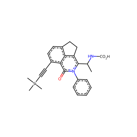 CC(NC(=O)O)c1c2c3c(ccc(C#C[Si](C)(C)C)c3c(=O)n1-c1ccccc1)CC2